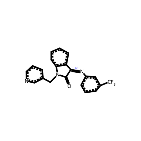 O=C1/C(=N\c2cccc(C(F)(F)F)c2)c2ccccc2N1Cc1cccnc1